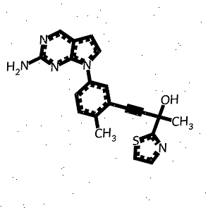 Cc1ccc(-n2ccc3cnc(N)nc32)cc1C#CC(C)(O)c1nccs1